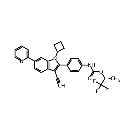 C#Cc1c(-c2ccc(NC(=O)O[C@H](C)C(F)(F)F)cc2)n(C2CCC2)c2cc(-c3ccccn3)ccc12